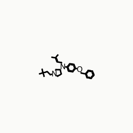 CC(C)=CCN(c1ccc(OCc2ccccc2)cc1)C1CCN(CCC(C)(C)C)C1